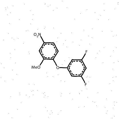 COc1cc([N+](=O)[O-])ccc1Oc1cc(F)cc(F)c1